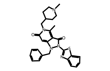 Cc1c2c(=O)n(-c3nc4ccccc4s3)n(Cc3ccccc3)c2cc(=O)n1CC1CCN(C)CC1